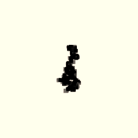 Cc1sc2c(c1C)C(c1ccc(OCCC(=O)OCC(C)(C)C)cc1)N[C@@H](C)c1nnc(C)n1-2